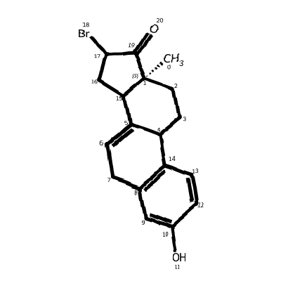 C[C@]12CCC3C(=CCc4cc(O)ccc43)C1CC(Br)C2=O